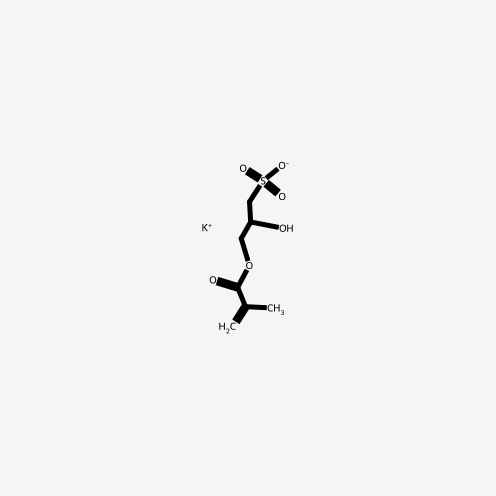 C=C(C)C(=O)OCC(O)CS(=O)(=O)[O-].[K+]